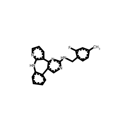 Cc1ccc(CNc2ncc3c(n2)-c2cccnc2Nc2ccccc2-3)c(F)c1